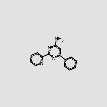 Nc1cc(-c2ccccc2)nc(-c2ccccn2)n1